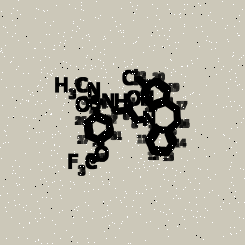 CN=S(=O)(NCC(O)CN1c2ccccc2CCc2ccc(Cl)cc21)c1ccc(OC(F)(F)F)cc1